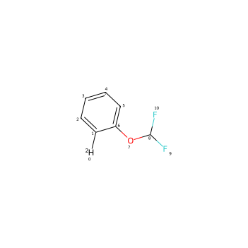 [2H]c1cc[c]cc1OC(F)F